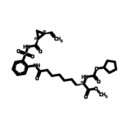 C=C[C@@H]1C[C@@H]1C(=O)NS(=O)(=O)c1ccccc1NC(=O)CCCCCC[C@H](NC(=O)OC1CCCC1)C(=O)OC